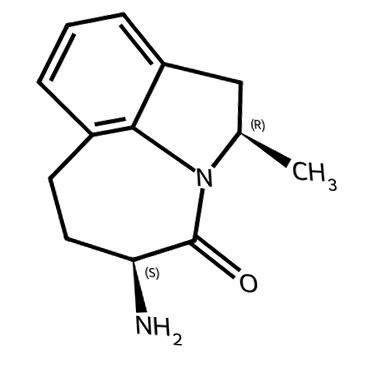 C[C@@H]1Cc2cccc3c2N1C(=O)[C@@H](N)CC3